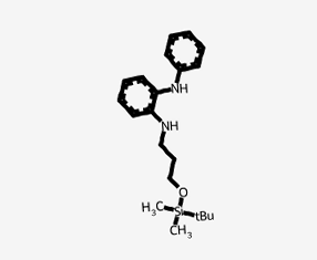 CC(C)(C)[Si](C)(C)OCCCNc1ccccc1Nc1ccccc1